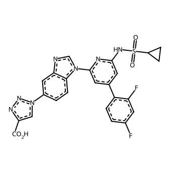 O=C(O)c1cn(-c2ccc3c(c2)ncn3-c2cc(-c3ccc(F)cc3F)cc(NS(=O)(=O)C3CC3)n2)nn1